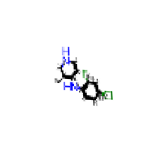 C[C@H]1CNCC[C@@H]1Nc1ccc(Cl)cc1F